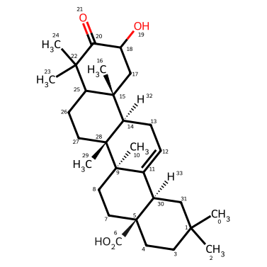 CC1(C)CC[C@]2(C(=O)O)CC[C@]3(C)C(=CC[C@@H]4[C@@]5(C)CC(O)C(=O)C(C)(C)C5CC[C@]43C)[C@H]2C1